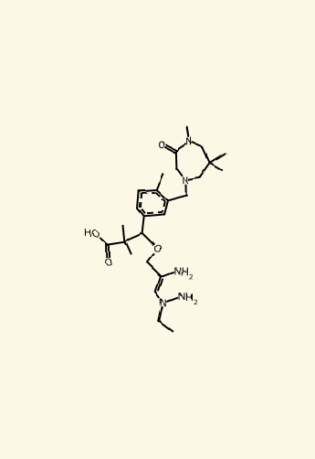 CCN(N)/C=C(\N)COC(c1ccc(C)c(CN2CC(=O)N(C)CC(C)(C)C2)c1)C(C)(C)C(=O)O